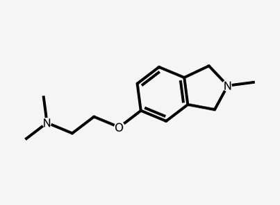 CN(C)CCOc1ccc2c(c1)CN(C)C2